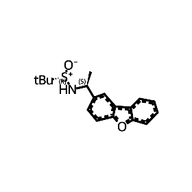 C[C@H](N[S@@+]([O-])C(C)(C)C)c1ccc2oc3ccccc3c2c1